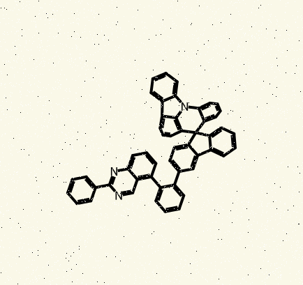 c1ccc(-c2ncc3c(-c4ccccc4-c4ccc5c(c4)-c4ccccc4C54c5ccccc5-n5c6ccccc6c6cccc4c65)cccc3n2)cc1